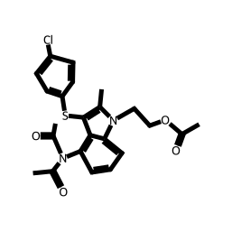 CC(=O)OCCn1c(C)c(Sc2ccc(Cl)cc2)c2c(N(C(C)=O)C(C)=O)cccc21